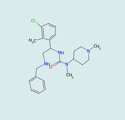 Cc1c(Cl)cccc1C(CNCc1ccccc1)NC(=O)N(C)C1CCN(C)CC1